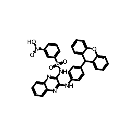 O=[N+](O)c1cccc(S(=O)(=O)Nc2nc3ccccc3nc2Nc2ccc(C3c4ccccc4Oc4ccccc43)cc2)c1